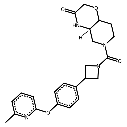 Cc1cccc(Oc2ccc(C3CN(C(=O)N4CCC5OCC(=O)N[C@@H]5C4)C3)cc2)n1